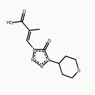 CC(=Cn1nnn(C2CCOCC2)c1=O)C(=O)O